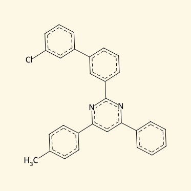 Cc1ccc(-c2cc(-c3ccccc3)nc(-c3cccc(-c4cccc(Cl)c4)c3)n2)cc1